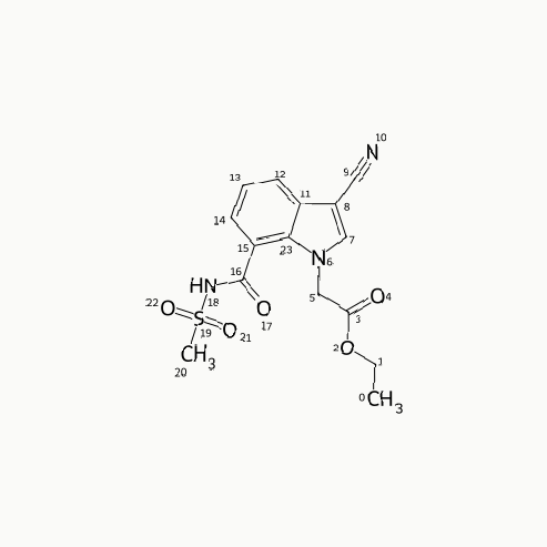 CCOC(=O)Cn1cc(C#N)c2cccc(C(=O)NS(C)(=O)=O)c21